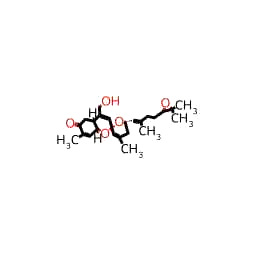 CC1=C[C@]2(C=C(CO)[C@H]3CC(=O)C(C)=C[C@H]3O2)O[C@H](/C=C(\C)CCC2OC2(C)C)C1